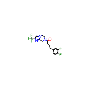 O=C(CCCc1ccc(F)c(F)c1)N1CCn2cc(C(F)(F)F)nc2C1